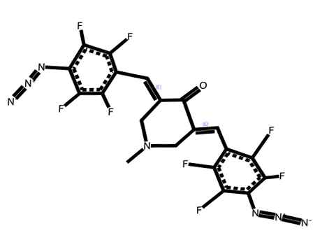 CN1C/C(=C\c2c(F)c(F)c(N=[N+]=[N-])c(F)c2F)C(=O)/C(=C/c2c(F)c(F)c(N=[N+]=[N-])c(F)c2F)C1